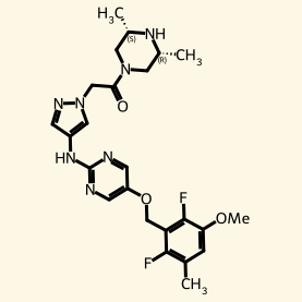 COc1cc(C)c(F)c(COc2cnc(Nc3cnn(CC(=O)N4C[C@@H](C)N[C@@H](C)C4)c3)nc2)c1F